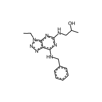 CCn1nnc2c(NCc3ccccc3)nc(NCC(C)O)nc21